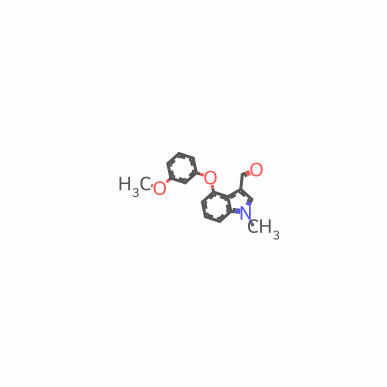 COc1cccc(Oc2cccc3c2c(C=O)cn3C)c1